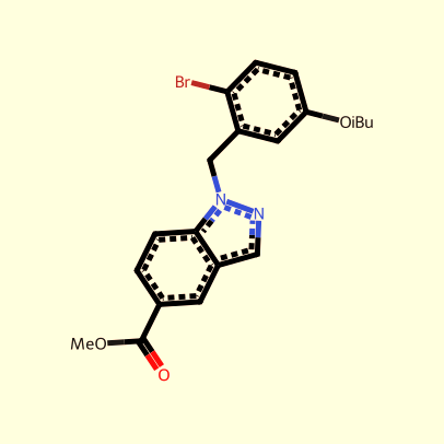 COC(=O)c1ccc2c(cnn2Cc2cc(OCC(C)C)ccc2Br)c1